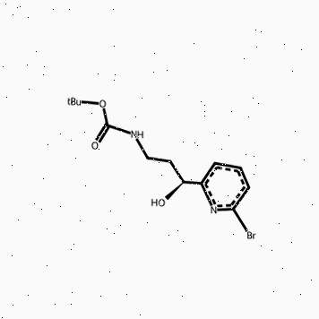 CC(C)(C)OC(=O)NCC[C@H](O)c1cccc(Br)n1